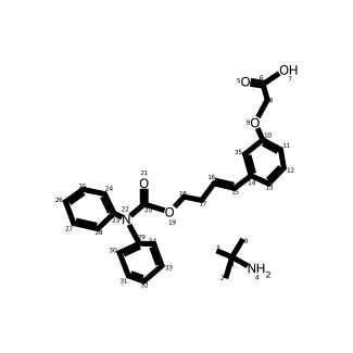 CC(C)(C)N.O=C(O)COc1cccc(C=CCCOC(=O)N(c2ccccc2)c2ccccc2)c1